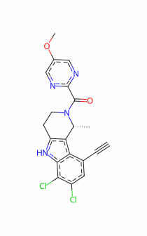 C#Cc1cc(Cl)c(Cl)c2[nH]c3c(c12)[C@@H](C)N(C(=O)c1ncc(OC)cn1)CC3